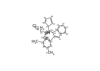 Cc1cc(C)cc(C2=Cc3ccccc3[CH]2[Hf+2]([CH]2C=CC=C2)[SiH](C)C)c1.[Cl-].[Cl-]